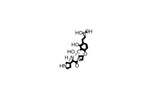 NC(C(=O)N1CC(Oc2ccc(CCB(O)O)c(O)c2C(=O)O)C1)C1CCNC1